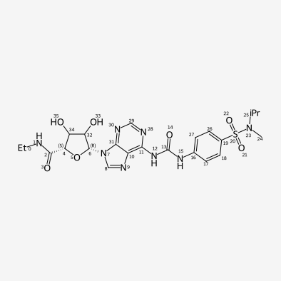 CCNC(=O)[C@H]1O[C@@H](n2cnc3c(NC(=O)Nc4ccc(S(=O)(=O)N(C)C(C)C)cc4)ncnc32)C(O)C1O